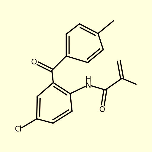 C=C(C)C(=O)Nc1ccc(Cl)cc1C(=O)c1ccc(C)cc1